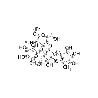 CC(=O)NC1[C@H](OC(C)C)OC(CO)[C@@H](O[C@@H]2O[C@@H](CO)[C@H](O)C(O)C2O[C@@H]2O[C@@H](C)[C@@H](O)C(O)C2O)[C@@H]1O[C@@H]1OC(C)[C@@H](O)[C@H](O)C1O